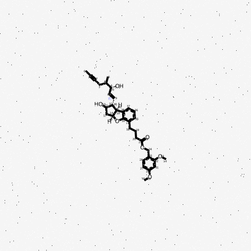 CC#CCC(C)[C@H](O)/C=C/[C@H]1C(O)C[C@@H]2Oc3c(CCCC(=O)OCc4ccc(OC)cc4OC)cccc3[C@@H]21